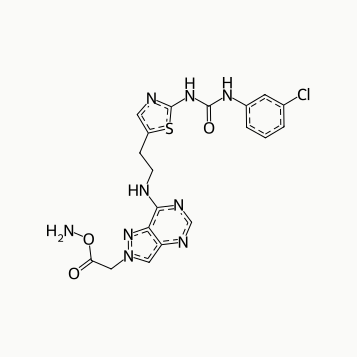 NOC(=O)Cn1cc2ncnc(NCCc3cnc(NC(=O)Nc4cccc(Cl)c4)s3)c2n1